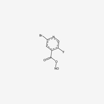 O=NOC(=O)c1cc(Br)ncc1F